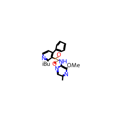 CCC(C)c1nccc(-c2ccccc2)c1S(=O)(=O)Nc1ncc(C)nc1OC